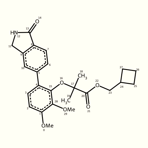 COc1ccc(-c2ccc3c(c2)CNC3=O)c(OC(C)(C)C(=O)OCC2CCC2)c1OC